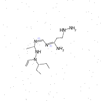 C=CN(NC(C)/N=C\N=C(\N)CCNN)C(CC)CC